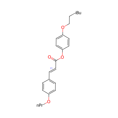 [CH2]CCOc1ccc(/C=C/C(=O)Oc2ccc(OCCC(C)CC)cc2)cc1